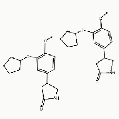 COc1ccc(C2CNC(=O)C2)cc1OC1CCCC1.COc1ccc(C2CNC(=O)C2)cc1OC1CCCC1